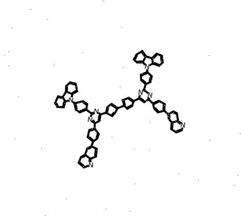 c1cnc2ccc(-c3ccc(-c4cc(-c5ccc(-c6ccc(-c7cc(-c8ccc(-c9ccc%10ncccc%10c9)cc8)nc(-c8ccc(-n9c%10ccccc%10c%10ccccc%109)cc8)n7)cc6)cc5)nc(-c5ccc(-n6c7ccccc7c7ccccc76)cc5)n4)cc3)cc2c1